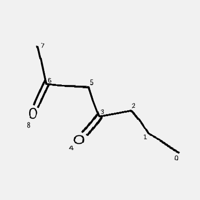 CCCC(=O)CC(C)=O